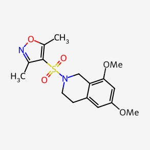 COc1cc2c(c(OC)c1)CN(S(=O)(=O)c1c(C)noc1C)CC2